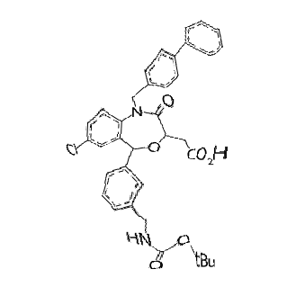 CC(C)(C)OC(=O)NCc1cccc(C2OC(CC(=O)O)C(=O)N(Cc3ccc(-c4ccccc4)cc3)c3ccc(Cl)cc32)c1